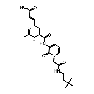 CC(=O)NC(CC/C=C/C(=O)O)C(=O)Nc1cccn(CC(=O)NCCC(C)(C)C)c1=O